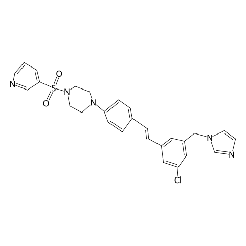 O=S(=O)(c1cccnc1)N1CCN(c2ccc(C=Cc3cc(Cl)cc(Cn4ccnc4)c3)cc2)CC1